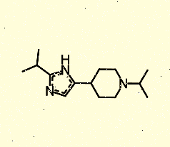 CC(C)c1ncc(C2CCN(C(C)C)CC2)[nH]1